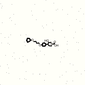 O=C(O)N1CCC(c2ccc(OCCCCOc3ccccc3)cc2)C(O)C1